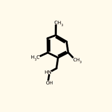 Cc1cc(C)c(CNO)c(C)c1